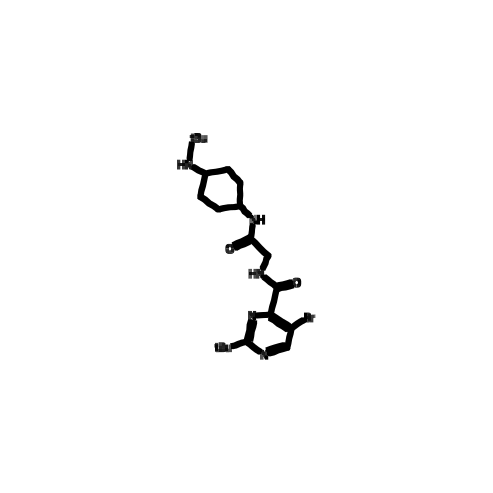 CC(C)(C)NC1CCC(NC(=O)CNC(=O)c2nc(C(C)(C)C)ncc2Br)CC1